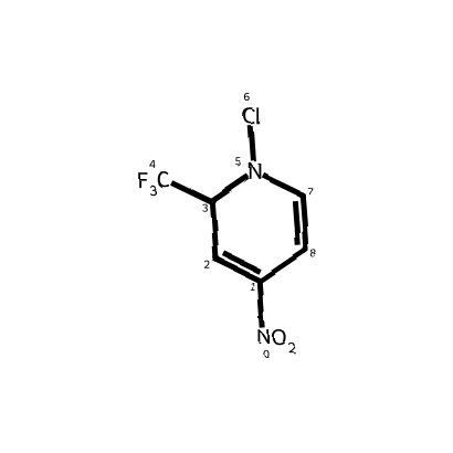 O=[N+]([O-])C1=CC(C(F)(F)F)N(Cl)C=C1